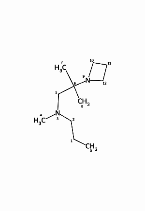 CCCN(C)CC(C)(C)N1CCC1